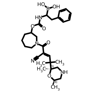 C[C@@H]1CNC[C@](C)(C(C)(C)C=C(C#N)C(=O)N2CCCCC(OC(=O)NC(Cc3ccccc3)B(O)O)C2)O1